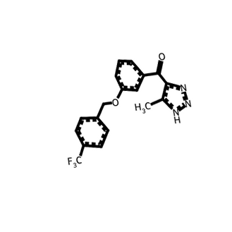 Cc1[nH]nnc1C(=O)c1cccc(OCc2ccc(C(F)(F)F)cc2)c1